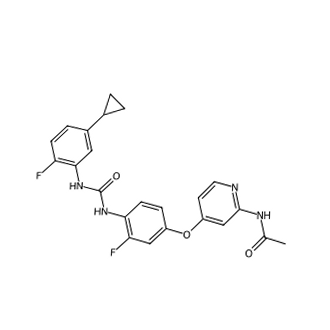 CC(=O)Nc1cc(Oc2ccc(NC(=O)Nc3cc(C4CC4)ccc3F)c(F)c2)ccn1